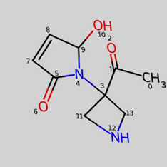 CC(=O)C1(N2C(=O)C=CC2O)CNC1